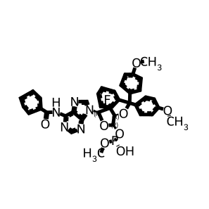 COc1ccc(C(O[C@@H]2[C@@H](OP(O)OC)O[C@@H](n3cnc4c(NC(=O)c5ccccc5)ncnc43)[C@@H]2F)(c2ccccc2)c2ccc(OC)cc2)cc1